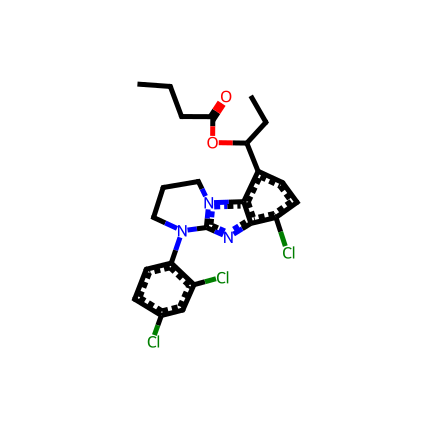 CCCC(=O)OC(CC)c1ccc(Cl)c2nc3n(c12)CCCN3c1ccc(Cl)cc1Cl